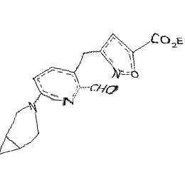 CCOC(=O)c1cc(Cc2ccc(N3CC4CC4C3)nc2C=O)no1